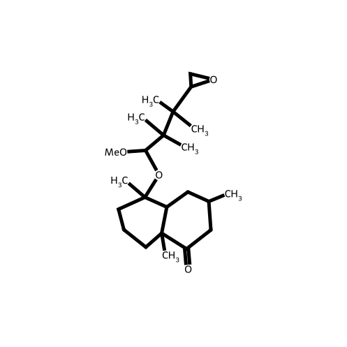 COC(OC1(C)CCCC2(C)C(=O)CC(C)CC12)C(C)(C)C(C)(C)C1CO1